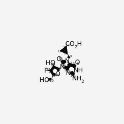 Nc1nc2c(c(=O)[nH]1)n(C[C@@H]1C[C@H]1C(=O)O)c(=O)n2[C@@H]1O[C@H](CO)[C@@H](F)[C@H]1O